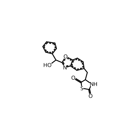 O=C1NC(Cc2ccc3oc(C(O)c4ccccc4)nc3c2)C(=O)S1